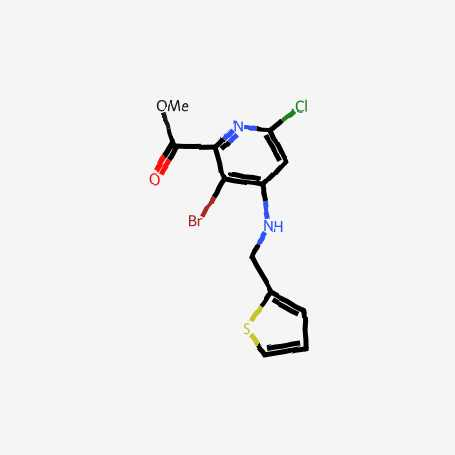 COC(=O)c1nc(Cl)cc(NCc2cccs2)c1Br